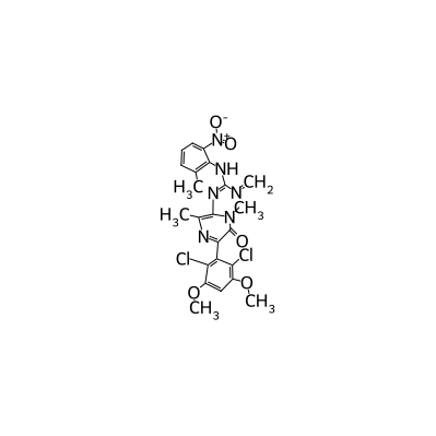 C=N/C(=N\c1c(C)nc(-c2c(Cl)c(OC)cc(OC)c2Cl)c(=O)n1C)Nc1c(C)cccc1[N+](=O)[O-]